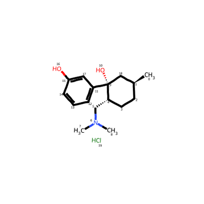 C[C@H]1CC[C@H](CN(C)C)[C@@](O)(c2cccc(O)c2)C1.Cl